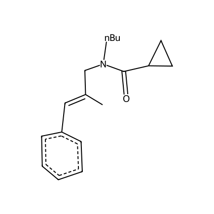 CCCCN(C/C(C)=C/c1ccccc1)C(=O)C1CC1